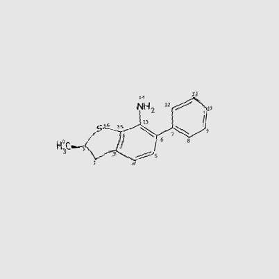 C[C@@H]1Cc2ccc(-c3ccccc3)c(N)c2S1